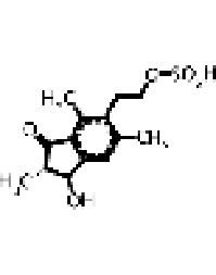 Cc1cc2c(c(C)c1CCOS(=O)(=O)O)C(=O)[C@@H](C)[C@@H]2O